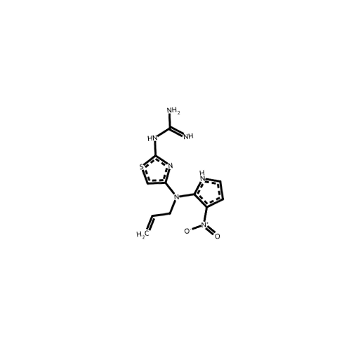 C=CCN(c1csc(NC(=N)N)n1)c1[nH]ccc1[N+](=O)[O-]